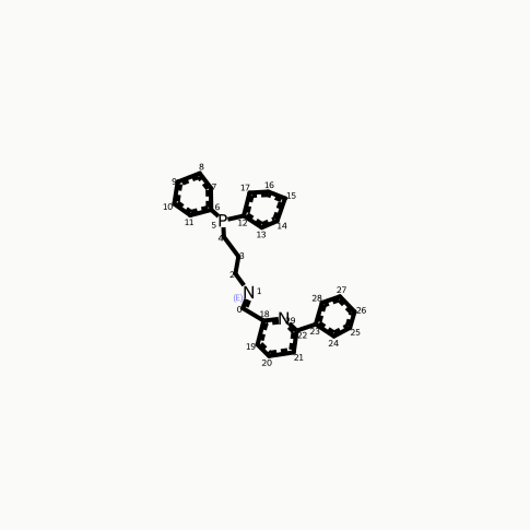 C(=N\CCCP(c1ccccc1)c1ccccc1)/c1cccc(-c2ccccc2)n1